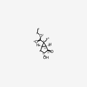 CCOC(=O)[C@@]1(F)[C@@H]2C[C@@H](O)C(=O)[C@@H]21